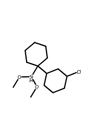 CO[SiH](OC)C1(C2CCCC(Cl)C2)CCCCC1